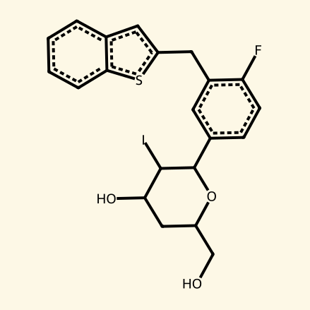 OCC1CC(O)C(I)C(c2ccc(F)c(Cc3cc4ccccc4s3)c2)O1